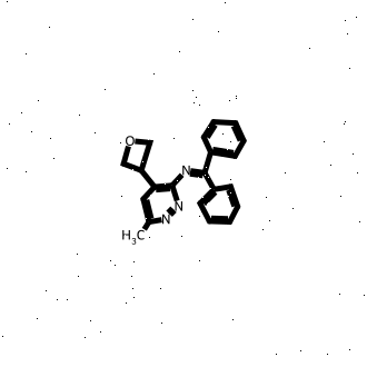 Cc1cc(C2COC2)c(N=C(c2ccccc2)c2ccccc2)nn1